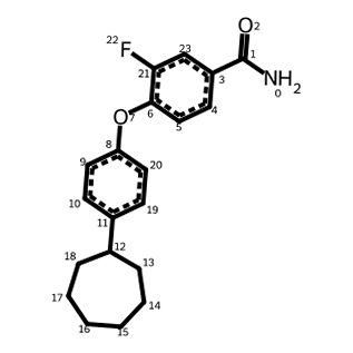 NC(=O)c1ccc(Oc2ccc(C3CCCCCC3)cc2)c(F)c1